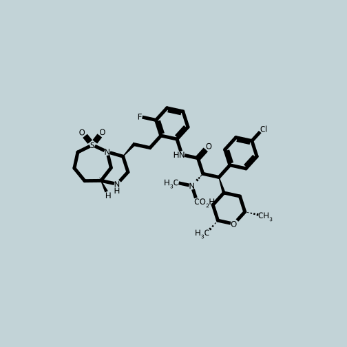 C[C@@H]1CC([C@H](c2ccc(Cl)cc2)[C@@H](C(=O)Nc2cccc(F)c2CC[C@H]2CN[C@@H]3CCCS(=O)(=O)N2C3)N(C)C(=O)O)C[C@H](C)O1